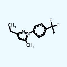 CCc1cc(C)n(-c2ccc(C(F)(F)F)cc2)n1